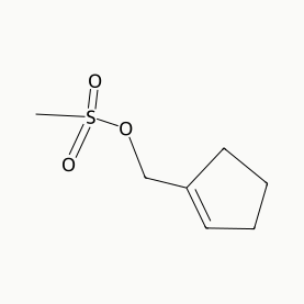 CS(=O)(=O)OCC1=CCCC1